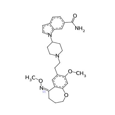 CO/N=C1/CCCOc2cc(OC)c(CCN3CCC(n4ccc5ccc(C(N)=O)cc54)CC3)cc21